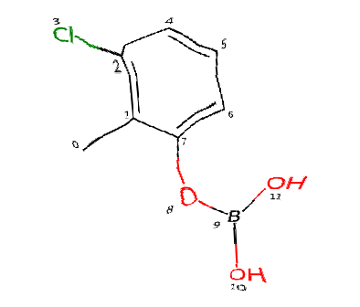 Cc1c(Cl)cccc1OB(O)O